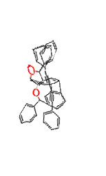 C(#Cc1cc2ccc1-c1cc3c(c(c1C#Cc1ccccc1)OC3c1ccccc1)OC2c1ccccc1)c1ccccc1